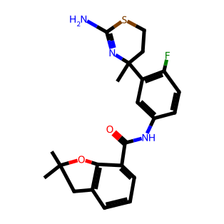 CC1(C)Cc2cccc(C(=O)Nc3ccc(F)c(C4(C)CCSC(N)=N4)c3)c2O1